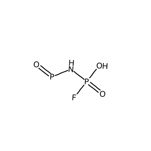 O=PNP(=O)(O)F